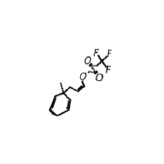 CC1(C/C=C\OS(=O)(=O)C(F)(F)F)C=CCC=C1